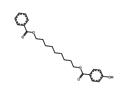 O=C(OCCCCCCCCCOC(=O)c1ccc(O)cc1)c1ccccc1